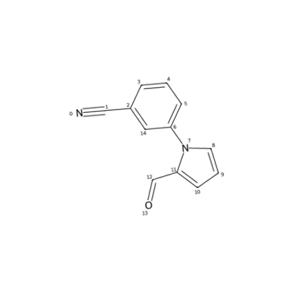 N#Cc1cccc(-n2cccc2C=O)c1